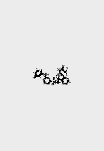 Cc1ccnc(Nc2cccc(S(=O)(=O)NC(=O)c3cccnc3N3CCC(C)C3(C)C)n2)c1